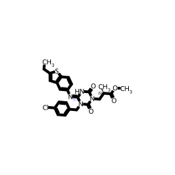 CCc1cc2cc(/N=c3\[nH]c(=O)n(C[C@H](C)C(=O)OC)c(=O)n3Cc3ccc(Cl)cc3)ccc2s1